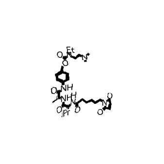 CCN(CCN(C)C)C(=O)OCc1ccc(NC(=O)[C@H](C)NC(=O)[C@@H](NC(=O)CCCCCN2C(=O)C=CC2=O)C(C)C)cc1